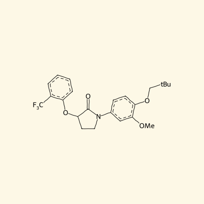 COc1cc(N2CCC(Oc3ccccc3C(F)(F)F)C2=O)ccc1OCC(C)(C)C